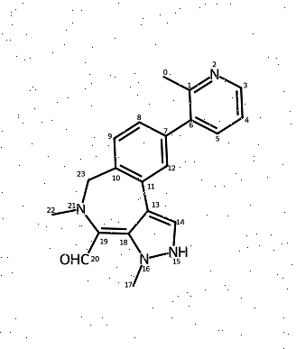 Cc1ncccc1-c1ccc2c(c1)C1=CNN(C)C1=C(C=O)N(C)C2